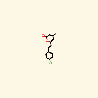 Cc1cc(/C=C/c2ccc(Cl)cc2)oc(=O)c1